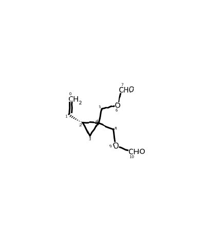 C=C[C@H]1CC1(COC=O)COC=O